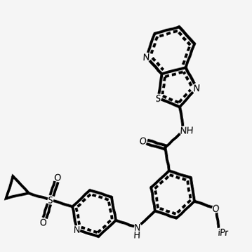 CC(C)Oc1cc(Nc2ccc(S(=O)(=O)C3CC3)nc2)cc(C(=O)Nc2nc3cccnc3s2)c1